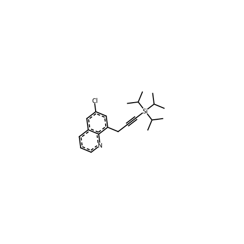 CC(C)[Si](C#CCc1cc(Cl)cc2cccnc12)(C(C)C)C(C)C